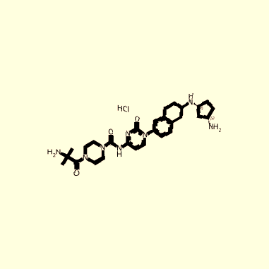 CC(C)(N)C(=O)N1CCN(C(=O)Nc2ccn(-c3ccc4c(c3)CCC(N[C@@H]3CC[C@H](N)C3)C4)c(=O)n2)CC1.Cl